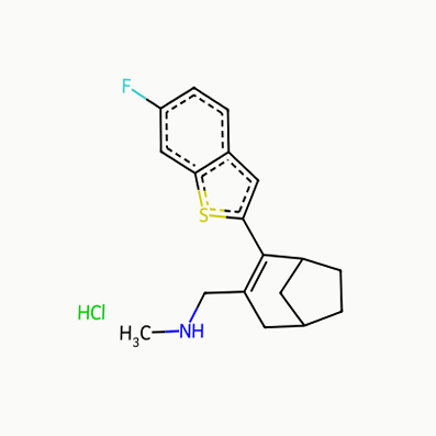 CNCC1=C(c2cc3ccc(F)cc3s2)C2CCC(C1)C2.Cl